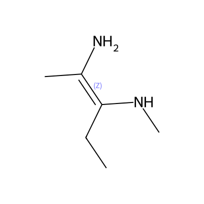 CC/C(NC)=C(\C)N